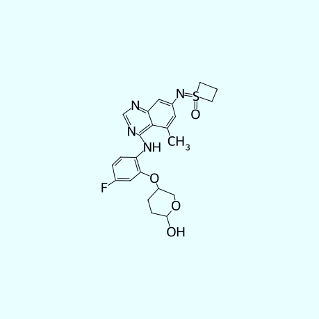 Cc1cc(N=S2(=O)CCC2)cc2ncnc(Nc3ccc(F)cc3OC3CCC(O)OC3)c12